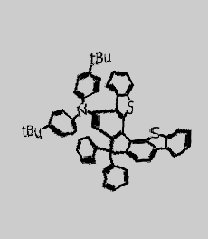 CC(C)(C)c1ccc(N(c2ccc(C(C)(C)C)cc2)c2cc3c(c4sc5ccccc5c24)-c2c(ccc4c2sc2ccccc24)C3(c2ccccc2)c2ccccc2)cc1